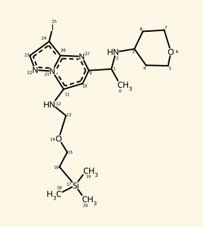 CC(NC1CCOCC1)c1cc(NCOCC[Si](C)(C)C)n2ncc(I)c2n1